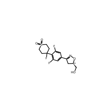 O=S1(=O)CCC(F)(c2c(F)cc(C3=NO[C@@H](CO)C3)cc2F)CC1